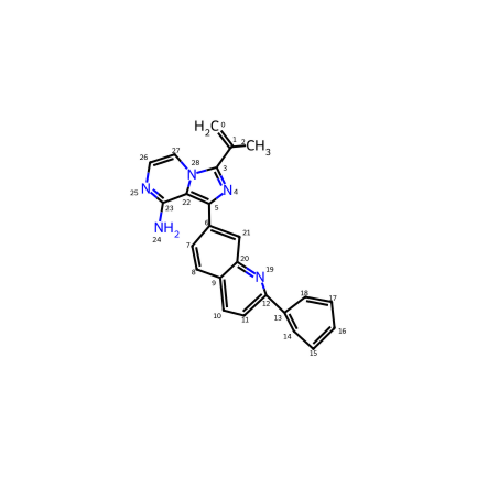 C=C(C)c1nc(-c2ccc3ccc(-c4ccccc4)nc3c2)c2c(N)nccn12